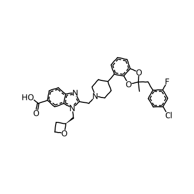 CC1(Cc2ccc(Cl)cc2F)Oc2cccc(C3CCN(Cc4nc5ccc(C(=O)O)cc5n4C[C@@H]4CCO4)CC3)c2O1